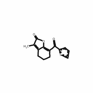 CC1=C2CCCC(C(=O)c3cccs3)=C2OC1=O